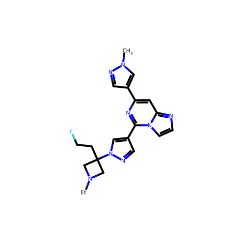 CCN1CC(CCF)(n2cc(-c3nc(-c4cnn(C)c4)cc4nccn34)cn2)C1